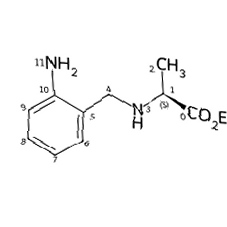 CCOC(=O)[C@H](C)NCc1ccccc1N